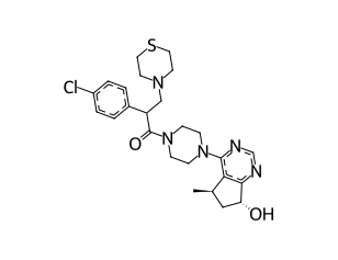 C[C@@H]1C[C@@H](O)c2ncnc(N3CCN(C(=O)C(CN4CCSCC4)c4ccc(Cl)cc4)CC3)c21